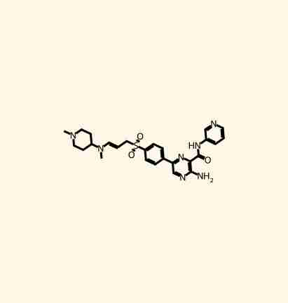 CN1CCC(N(C)C=CCS(=O)(=O)c2ccc(-c3cnc(N)c(C(=O)Nc4cccnc4)n3)cc2)CC1